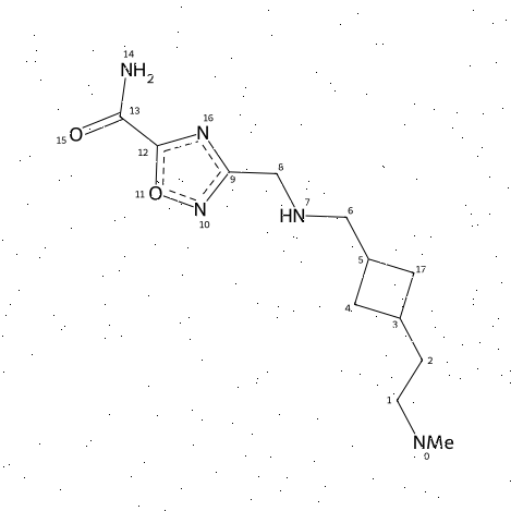 CNCCC1CC(CNCc2noc(C(N)=O)n2)C1